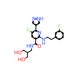 O=C(NCC(CO)CO)c1cc(F)c(-c2cn[nH]c2)nc1NCCc1cccc(F)c1